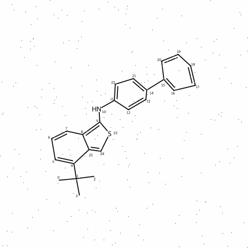 CC(C)(C)c1cccc2c(Nc3ccc(-c4ccccc4)cc3)scc12